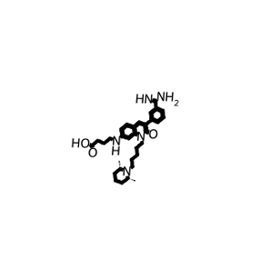 C[C@@H]1CCC[C@H](C)N1CCCCCn1c(=O)c(-c2cccc(C(=N)N)c2)cc2ccc(NCCCC(=O)O)cc21